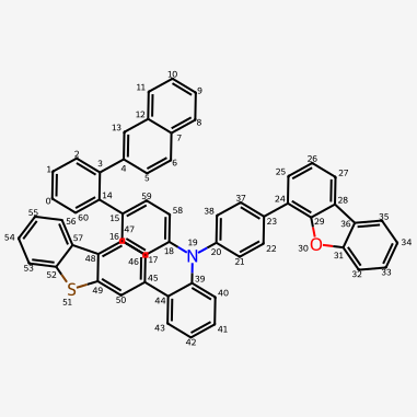 c1ccc(-c2ccc3ccccc3c2)c(-c2ccc(N(c3ccc(-c4cccc5c4oc4ccccc45)cc3)c3ccccc3-c3ccc4c(c3)sc3ccccc34)cc2)c1